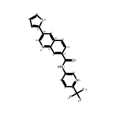 O=C(Nc1ccc(C(F)(F)F)nc1)c1ccc2cc(-c3cccs3)cnc2c1